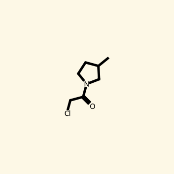 CC1CCN(C(=O)CCl)C1